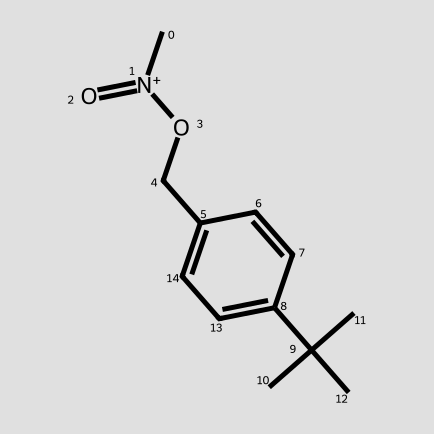 C[N+](=O)OCc1ccc(C(C)(C)C)cc1